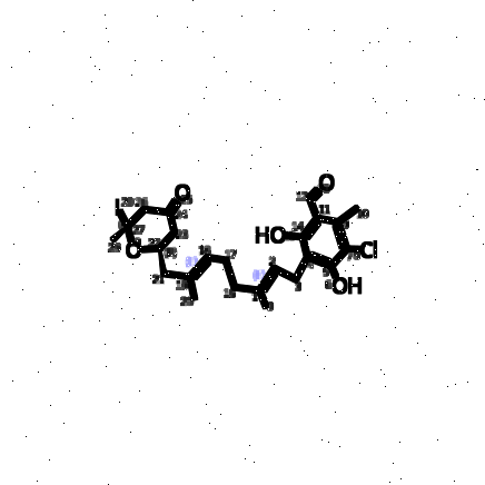 C/C(=C\Cc1c(O)c(Cl)c(C)c(C=O)c1O)CC/C=C(\C)C[C@@H]1CC(=O)C[C@@](C)(I)O1